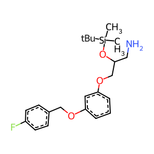 CC(C)(C)[Si](C)(C)OC(CN)COc1cccc(OCc2ccc(F)cc2)c1